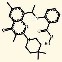 Cc1cc(C(C)Nc2ccccc2C(=O)OC(C)(C)C)c2oc(N3CCC(C)(C)CC3)c(C)c(=O)c2c1